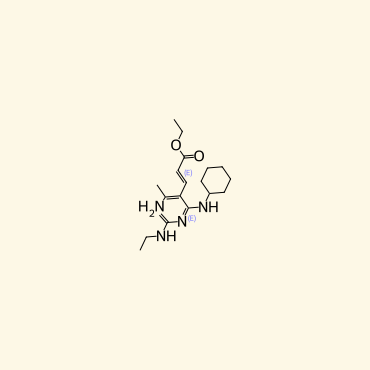 C=C(/N=C(/NC1CCCCC1)C(/C=C/C(=O)OCC)=C(C)N)NCC